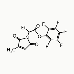 CCC(C(=O)Oc1c(F)c(F)c(F)c(F)c1F)N1C(=O)C=C(C)C1=O